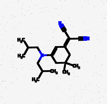 CC(C)CN(CC(C)C)C1=CC(=C(C#N)C#N)CC(C)(C)C1